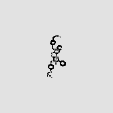 CCOc1ccc(C[C@@H](NC(=O)c2ccccc2)C(=O)NC(Cc2cccs2)C(=O)NCc2ccc(CN)cc2)cc1